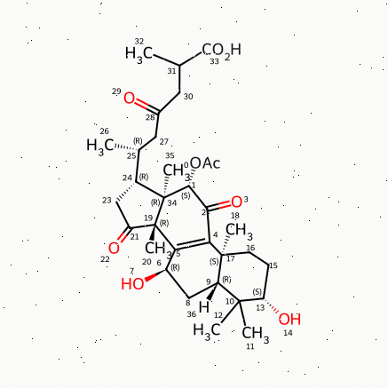 CC(=O)O[C@@H]1C(=O)C2=C([C@H](O)C[C@H]3C(C)(C)[C@@H](O)CC[C@]23C)[C@]2(C)C(=O)C[C@H]([C@H](C)CC(=O)CC(C)C(=O)O)[C@@]12C